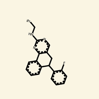 CC(C)CNc1ncc2c(n1)-c1ccccc1C(c1ccccc1F)C2